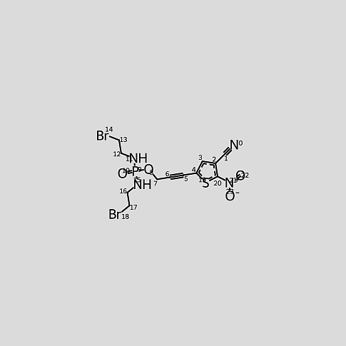 N#Cc1cc(C#CCOP(=O)(NCCBr)NCCBr)sc1[N+](=O)[O-]